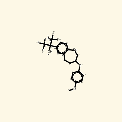 COc1ccc(OC2CCc3cc(C(O)(C(F)(F)F)C(F)(F)F)ccc3NC2)cc1